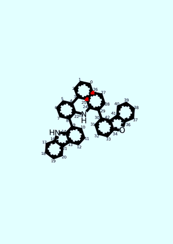 c1ccc(-c2cccc(-c3cccc4c3[nH]c3ccccc34)c2Nc2ccccc2-c2cccc3oc4ccccc4c23)cc1